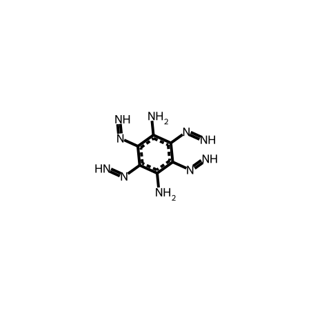 N=Nc1c(N)c(N=N)c(N=N)c(N)c1N=N